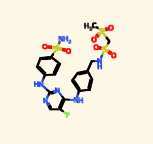 CS(=O)(=O)CS(=O)(=O)NCc1ccc(Nc2nc(Nc3ccc(S(N)(=O)=O)cc3)ncc2F)cc1